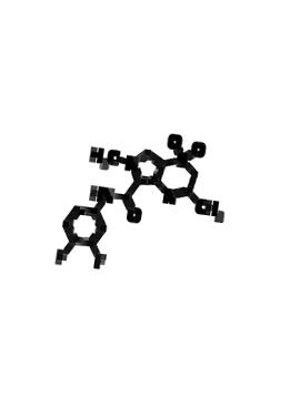 CC1=Nc2c(cn(C)c2C(=O)Nc2ccc(F)c(F)c2)S(=O)(=O)C1